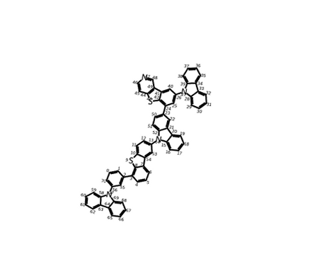 c1cc(-c2cccc3c2sc2ccc(-n4c5ccccc5c5cc(-c6cc(-n7c8ccccc8c8ccccc87)cc7c6sc6ccncc67)ccc54)cc23)cc(-n2c3ccccc3c3ccccc32)c1